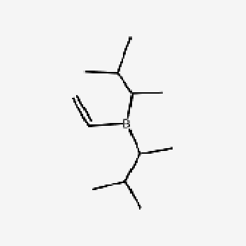 C=CB(C(C)C(C)C)C(C)C(C)C